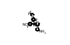 N#Cc1ccc(-c2nc3c(N4CCC[C@@H](N)C4)ccnc3n2-c2ccc(N3CCC(F)(F)C3)cc2F)cc1F